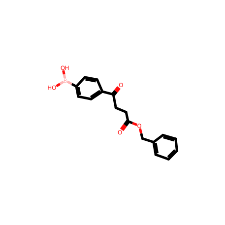 O=C(CCC(=O)c1ccc(B(O)O)cc1)OCc1ccccc1